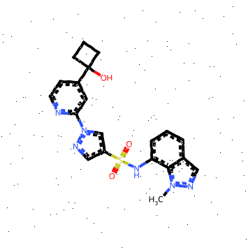 Cn1ncc2cccc(NS(=O)(=O)c3cnn(-c4cc(C5(O)CCC5)ccn4)c3)c21